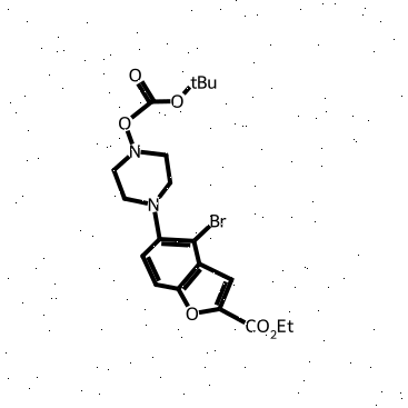 CCOC(=O)c1cc2c(Br)c(N3CCN(OC(=O)OC(C)(C)C)CC3)ccc2o1